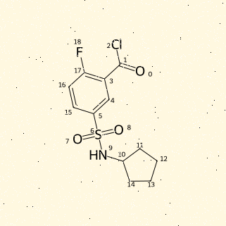 O=C(Cl)c1cc(S(=O)(=O)NC2CCCC2)ccc1F